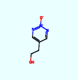 [O-][n+]1ncc(CCO)cn1